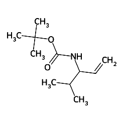 C=CC(NC(=O)OC(C)(C)C)C(C)C